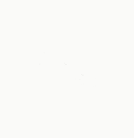 CC(C)Oc1ccc(Br)c(CC2CCN(CCC3CN(Cc4ccccc4)C(=O)S3)CC2)c1